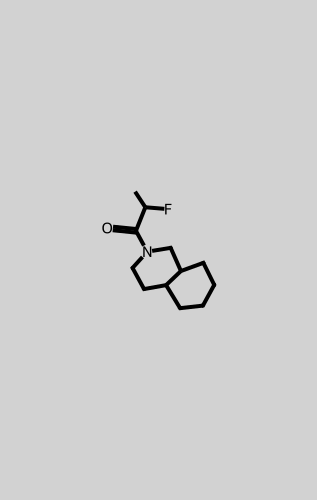 CC(F)C(=O)N1CCC2CCCCC2C1